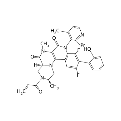 C=CC(=O)N1C[C@@H]2C(=O)N(C)c3c(c4cc(F)c(-c5ccccc5O)c(F)c4n(-c4c(C)ccnc4C(C)C)c3=O)N2C[C@H]1C